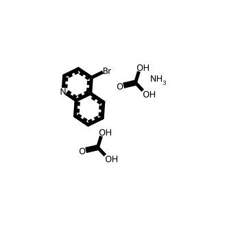 Brc1ccnc2ccccc12.N.O=C(O)O.O=C(O)O